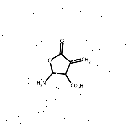 C=C1C(=O)OC(N)C1C(=O)O